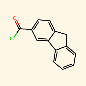 O=C(Cl)c1ccc2c(c1)-c1ccccc1C2